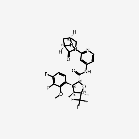 COc1c([C@H]2[C@H](C(=O)Nc3ccnc(N4C[C@@H]5C[C@H](C4=O)N5C)c3)O[C@@](C)(C(F)(F)F)[C@H]2C)ccc(F)c1F